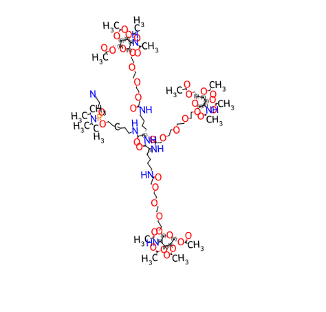 CC(=O)N[C@H]1[C@H](OCCOCCOCCOCC(=O)NCCCC[C@H](NC(=O)COCCOCCOCCO[C@@H]2O[C@H](COC(C)=O)[C@H](OC(C)=O)[C@H](OC(C)=O)[C@H]2NC(C)=O)C(=O)N[C@@H](CCCCNC(=O)COCCOCCOCCO[C@@H]2O[C@H](COC(C)=O)[C@H](OC(C)=O)[C@H](OC(C)=O)[C@H]2NC(C)=O)C(=O)NCCCCCCOP(OCCC#N)N(C(C)C)C(C)C)O[C@H](COC(C)=O)[C@H](OC(C)=O)[C@@H]1OC(C)=O